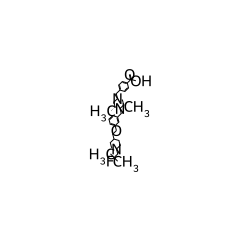 C[C@@H]1CN(Cc2ccc(C(=O)O)cc2)C[C@H](C)N1Cc1cccc(OCC2CCN(CC(C)(C)F)CC2)c1